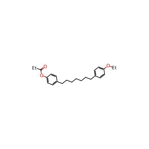 CCOc1ccc(CCCCCCCc2ccc(OC(=O)CC)cc2)cc1